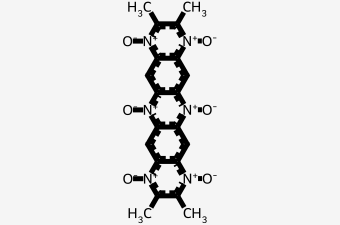 Cc1c(C)[n+]([O-])c2cc3c(cc2[n+]1[O-])[n+]([O-])c1cc2c(cc1[n+]3[O-])[n+]([O-])c(C)c(C)[n+]2[O-]